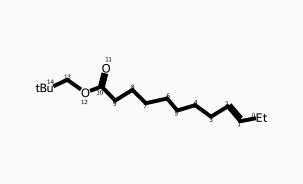 CC/C=C/CCCCCCCC(=O)OCC(C)(C)C